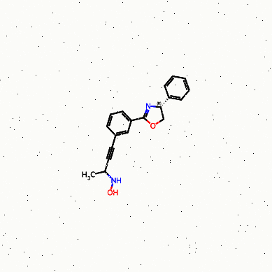 CC(C#Cc1cccc(C2=N[C@H](c3ccccc3)CO2)c1)NO